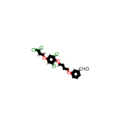 O=Cc1cccc(OCCCCOc2c(Cl)cc(OCC=C(Cl)Cl)cc2Cl)c1